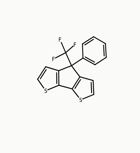 FC(F)(F)C1(c2ccccc2)c2ccsc2-c2sccc21